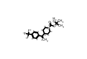 C=C(c1ccc(C(F)(F)F)cc1)C1CCN(C(=O)OC(C)(C)C)CC1